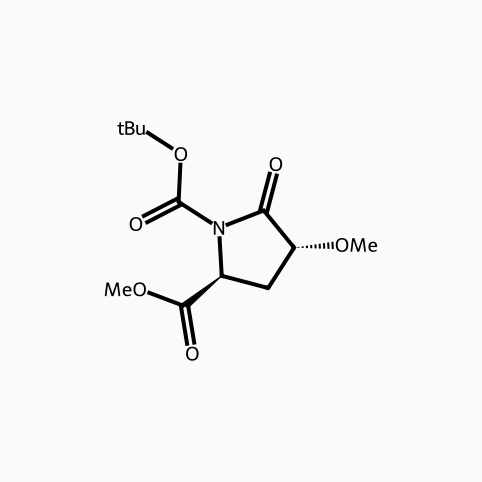 COC(=O)[C@@H]1C[C@@H](OC)C(=O)N1C(=O)OC(C)(C)C